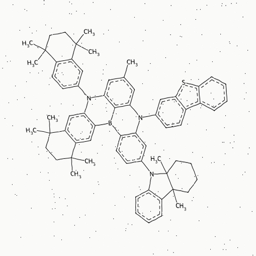 Cc1cc2c3c(c1)N(c1ccc4c(c1)C(C)(C)CCC4(C)C)c1cc4c(cc1B3c1ccc(N3c5ccccc5C5(C)CCCCC35C)cc1N2c1ccc2c(c1)sc1ccccc12)C(C)(C)CCC4(C)C